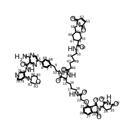 Nc1ncc(-c2ccc(CCNC(=O)[C@H](CCCCNC(=O)COc3cccc4c3C(=O)N(C3CCC(=O)NC3=O)C4=O)NC(=O)CCCCCNC(=O)C3CCC(CN4C(=O)C=CC4=O)CC3)cc2)nc1C(=O)Nc1cnccc1N1CCOCC1